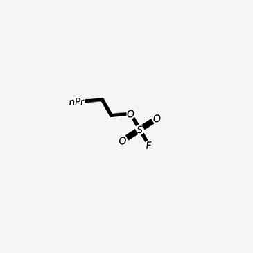 CCCCCOS(=O)(=O)F